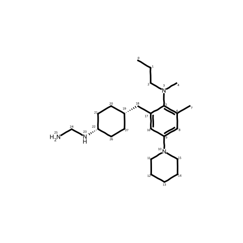 CCCN(C)c1c(C)cc(N2CCCCC2)cc1C[C@H]1CC[C@@H](NCN)CC1